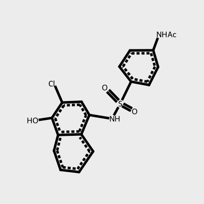 CC(=O)Nc1ccc(S(=O)(=O)Nc2cc(Cl)c(O)c3ccccc23)cc1